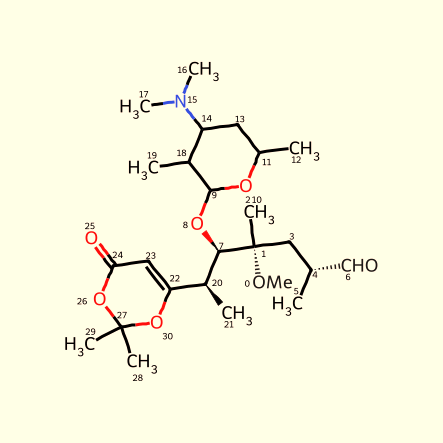 CO[C@](C)(C[C@@H](C)C=O)[C@H](OC1OC(C)CC(N(C)C)C1C)[C@@H](C)C1=CC(=O)OC(C)(C)O1